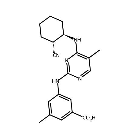 Cc1cc(Nc2ncc(C)c(N[C@@H]3CCCC[C@H]3C#N)n2)cc(C(=O)O)c1